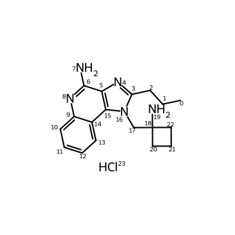 CCCc1nc2c(N)nc3ccccc3c2n1CC1(N)CCC1.Cl